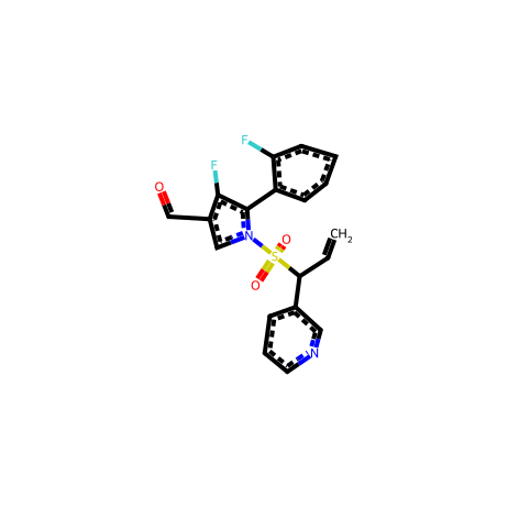 C=CC(c1cccnc1)S(=O)(=O)n1cc(C=O)c(F)c1-c1ccccc1F